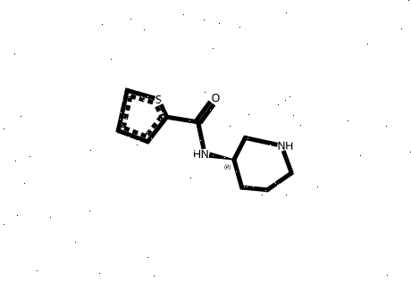 O=C(N[C@@H]1CCCNC1)c1cccs1